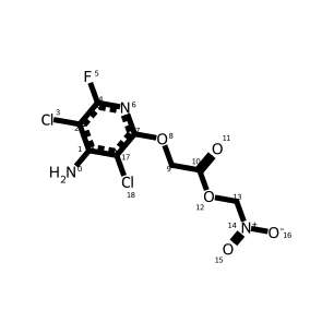 Nc1c(Cl)c(F)nc(OCC(=O)OC[N+](=O)[O-])c1Cl